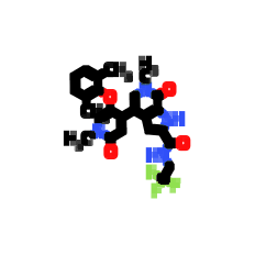 Cc1cccc(C)c1Oc1cn(C)c(=O)cc1-c1cn(C)c(=O)c2[nH]c(C(=O)NCC(F)(F)F)cc12